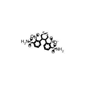 NS(=O)(=O)c1cccc(C2CSSCC2c2cccc(S(N)(=O)=O)c2[N+](=O)[O-])c1[N+](=O)[O-]